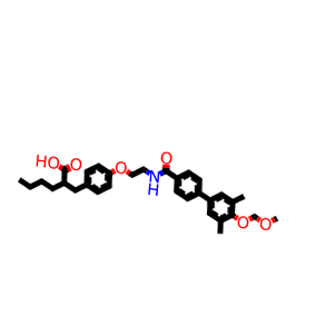 CCCCC(Cc1ccc(OCCNC(=O)c2ccc(-c3cc(C)c(OCOC)c(C)c3)cc2)cc1)C(=O)O